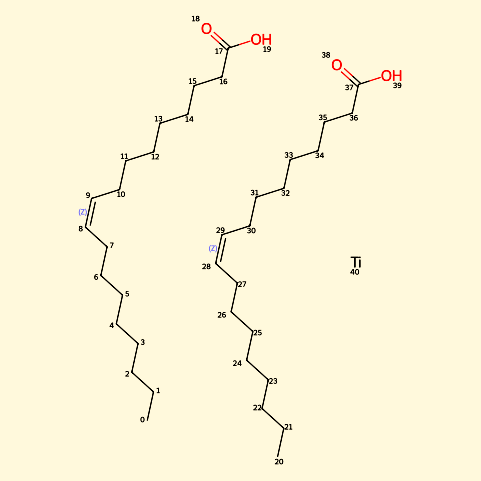 CCCCCCCC/C=C\CCCCCCCC(=O)O.CCCCCCCC/C=C\CCCCCCCC(=O)O.[Ti]